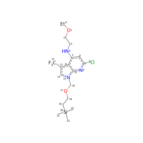 CCOCCNc1cc(Cl)nc2c1c(C(F)(F)F)cn2COCC[Si](C)(C)C